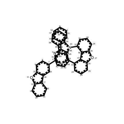 c1ccc(-c2nc(-c3ccc4oc5ccccc5c4c3)nc(-c3cccc4oc5cccc(-n6c7ccccc7c7ccccc76)c5c34)n2)cc1